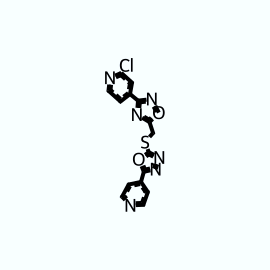 Clc1cc(-c2noc(CSc3nnc(-c4ccncc4)o3)n2)ccn1